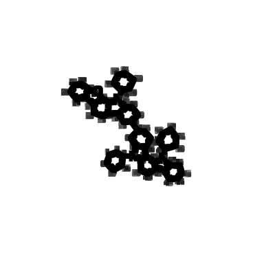 c1ccc(-n2c3cc(-c4ccc5c(c4)c4ccc6c7ccccc7oc6c4n5-c4ccccc4)ccc3c3c2ccc2c4ccccc4n(-c4ccccc4)c23)cc1